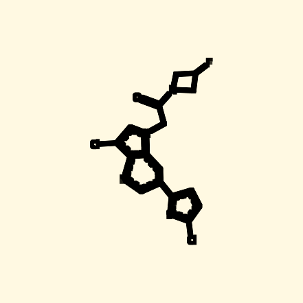 O=C(Cn1cc(Cl)c2ncc(-c3ccc(Cl)s3)cc21)N1CC(F)C1